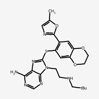 Cc1cnc(-c2cc3c(cc2Sc2nc4c(N)ncnc4n2CCNCC(C)(C)C)OCCO3)o1